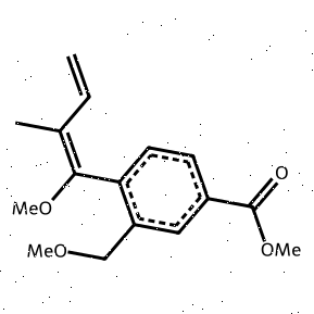 C=C/C(C)=C(/OC)c1ccc(C(=O)OC)cc1COC